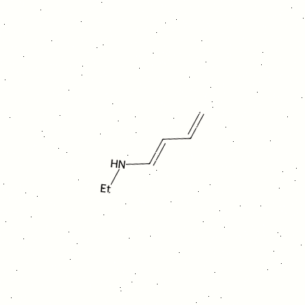 C=CC=CNCC